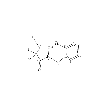 CC1(C)C(=O)N(Cc2ccccc2Cl)OC1Cl